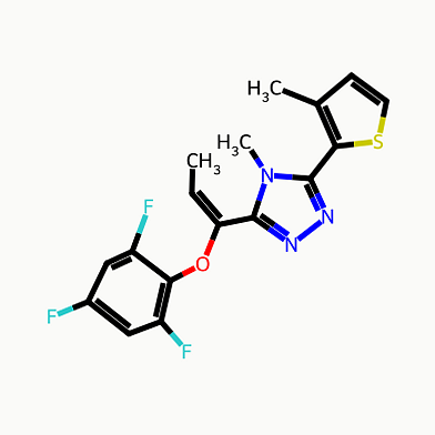 C/C=C(/Oc1c(F)cc(F)cc1F)c1nnc(-c2sccc2C)n1C